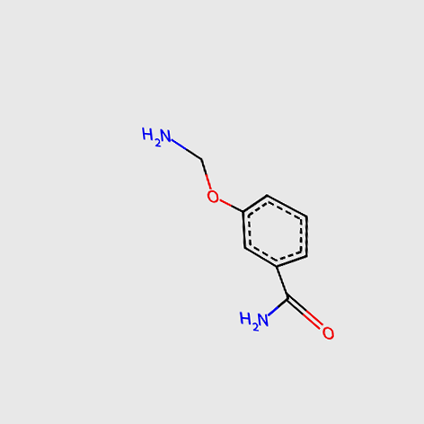 NCOc1cccc(C(N)=O)c1